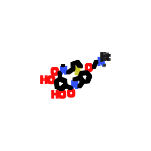 CCN(C)CCOc1ccc2c(c1)CN(C(=O)c1cc(C(=O)N(C)Cc3cccs3)c(O)cc1O)C2